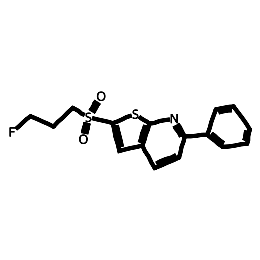 O=S(=O)(CCCF)c1cc2ccc(-c3ccccc3)nc2s1